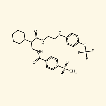 CS(=O)(=O)c1ccc(C(=O)NCC(C(=O)NCCNc2ccc(OC(F)(F)F)cc2)C2CCCCC2)cc1